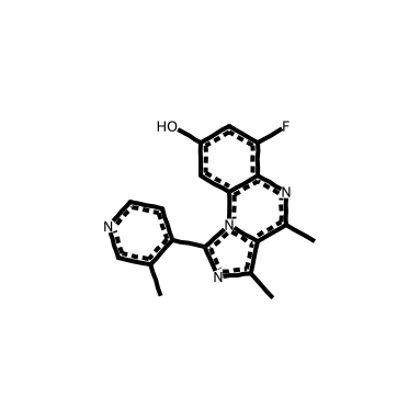 Cc1cnccc1-c1nc(C)c2c(C)nc3c(F)cc(O)cc3n12